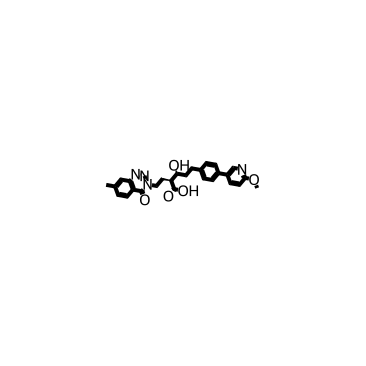 COc1ccc(-c2ccc(CC[C@@H](O)[C@H](CCn3nnc4cc(C)ccc4c3=O)C(=O)O)cc2)cn1